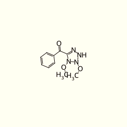 CON1NN=C(C(=O)c2ccccc2)N1OC